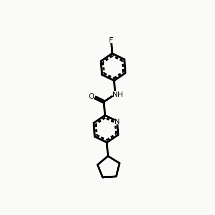 O=C(Nc1ccc(F)cc1)c1ccc(C2CCCC2)cn1